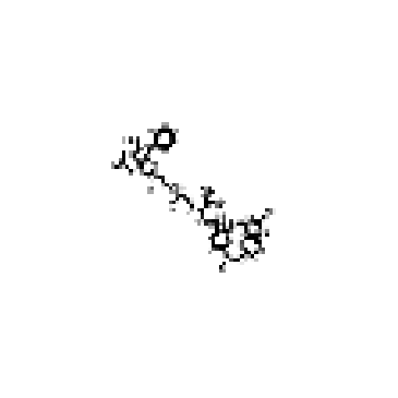 CC(C)C[C@]1(CCO)C[C@](C)(/C=N/NC(=O)CC[C@H](NC(=O)c2ccc(N(C)Cc3cnc4nc(N)nc(N)c4n3)cc2)C(=O)O)ON1Cc1ccccc1